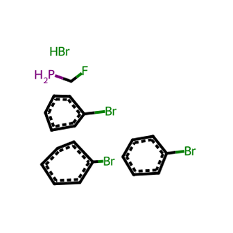 Br.Brc1ccccc1.Brc1ccccc1.Brc1ccccc1.FCP